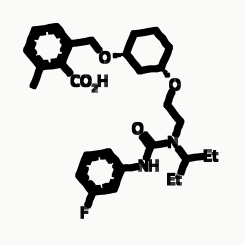 CCC(CC)N(CCO[C@H]1CCC[C@@H](OCc2cccc(C)c2C(=O)O)C1)C(=O)Nc1cccc(F)c1